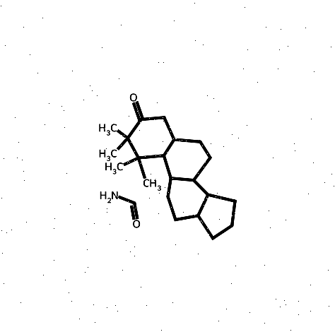 CC1(C)C(=O)CC2CCC3C4CCCC4CCC3C2C1(C)C.NC=O